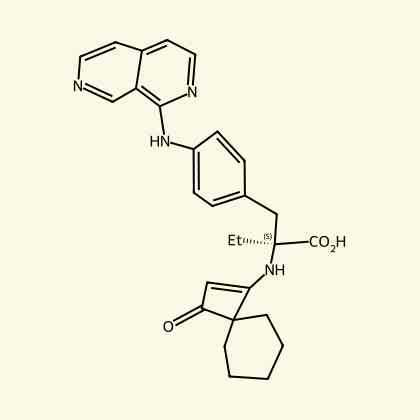 CC[C@@](Cc1ccc(Nc2nccc3ccncc23)cc1)(NC1=CC(=O)C12CCCCC2)C(=O)O